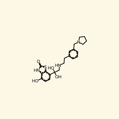 O=c1[nH]c2c(O)ccc(C(O)(O)CNCCc3cccc(CN4CCCC4)c3)c2s1